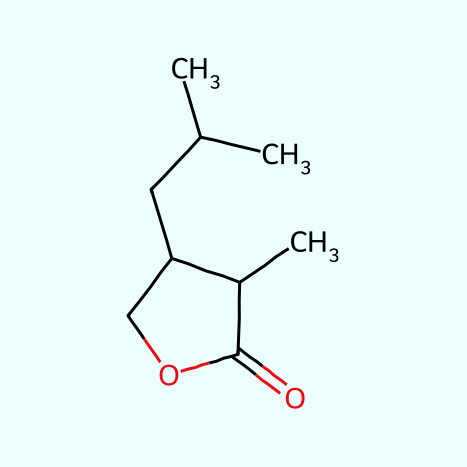 CC(C)CC1COC(=O)C1C